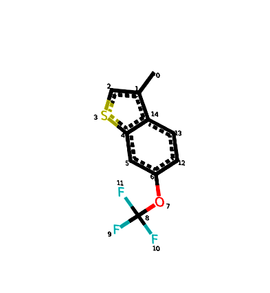 [CH2]c1csc2cc(OC(F)(F)F)ccc12